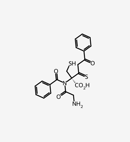 NCC(=O)N(C(=O)c1ccccc1)[C@](CS)(C(=O)O)C(=S)CC(=O)c1ccccc1